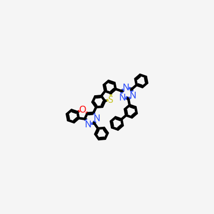 c1ccc(-c2cccc(-c3nc(-c4ccccc4)nc(-c4cccc5c4sc4cc(-c6nc(-c7ccccc7)nc7c6oc6ccccc67)ccc45)n3)c2)cc1